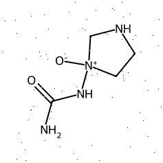 NC(=O)N[N+]1([O-])CCNC1